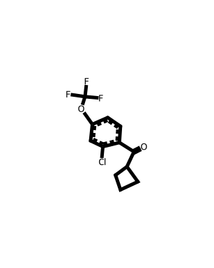 O=C(c1ccc(OC(F)(F)F)cc1Cl)C1CCC1